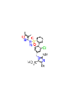 CCCc1nc(CC)c(C(=O)O)n1Cc1ccc(-c2ccccc2S(=O)(=O)Nc2noc(C)c2C)c(Cl)c1